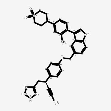 CC#C[C@@H](CC1=NNNN1)c1ccc(OCc2ccc3scc(-c4ccc(C5CCS(=O)(=O)CC5)cc4C)c3c2)cc1